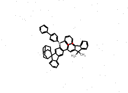 CC1(C)c2ccccc2-c2ccc(-c3cc4c(cc3N(c3ccccc3)c3ccc(-c5ccccc5)cc3)C3(c5ccccc5-4)C4CC5CC(C4)CC3C5)cc21